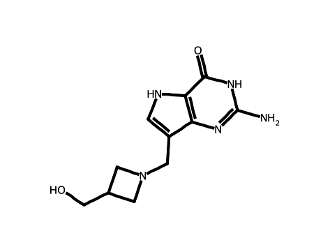 Nc1nc2c(CN3CC(CO)C3)c[nH]c2c(=O)[nH]1